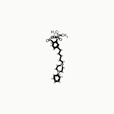 CN(C)S(=O)(=O)c1cc(CCCCCN2CCN(c3ccccc3)CC2)ccc1[S+](C)[O-]